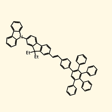 CCC1(CC)c2cc(/C=C/c3ccc(-c4cc(-c5ccccc5)c(-c5ccccc5)c(-c5ccccc5)c4-c4ccccc4)cc3)ccc2-c2ccc(-n3c4ccccc4c4ccccc43)cc21